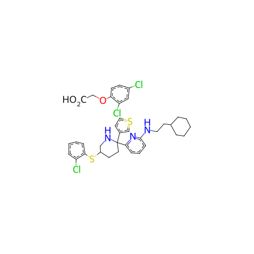 Clc1ccccc1SC1CCC(c2ccsc2)(c2cccc(NCCC3CCCCC3)n2)NC1.O=C(O)COc1ccc(Cl)cc1Cl